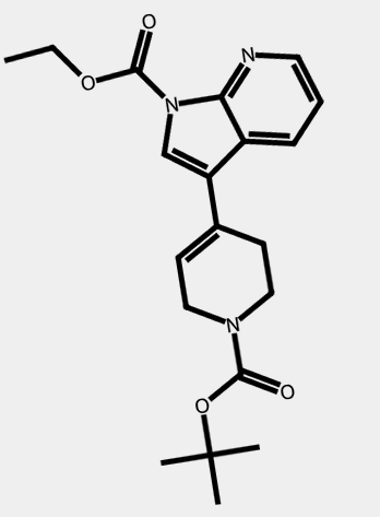 CCOC(=O)n1cc(C2=CCN(C(=O)OC(C)(C)C)CC2)c2cccnc21